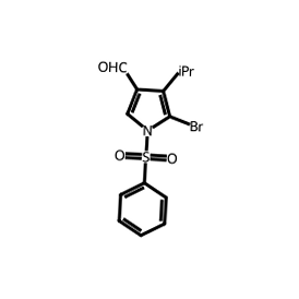 CC(C)c1c(C=O)cn(S(=O)(=O)c2ccccc2)c1Br